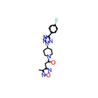 Cc1nonc1CC(=O)N1CCC(n2nnc(-c3ccc(F)cc3)n2)CC1